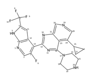 Fc1cnc2[nH]c(C(F)(F)F)cc2c1-c1nc(N2CCNCC2)c2c(C3CC3)cncc2n1